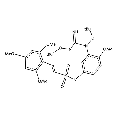 COc1cc(OC)c(C=CS(=O)(=O)Nc2ccc(OC)c(N(OC(C)(C)C)C(=N)NOC(C)(C)C)c2)c(OC)c1